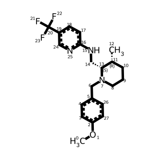 COc1ccc(CN2CCC[C@@H](C)[C@H]2CNc2ccc(C(F)(F)F)cn2)cc1